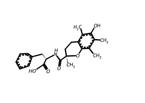 Cc1c(C)c2c(c(C)c1O)CC[C@](C)(C(=O)N[C@@H](Cc1ccccc1)C(=O)O)O2